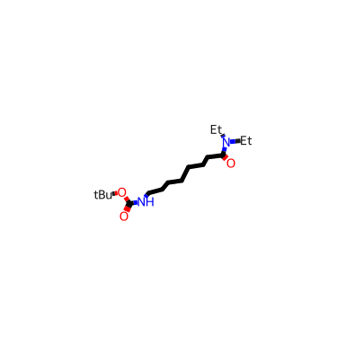 CCN(CC)C(=O)CCCCCCCNC(=O)OC(C)(C)C